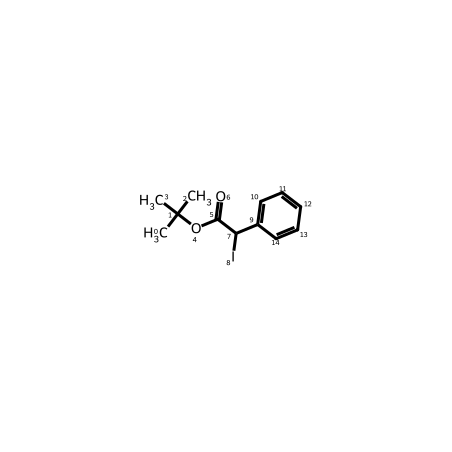 CC(C)(C)OC(=O)C(I)c1ccccc1